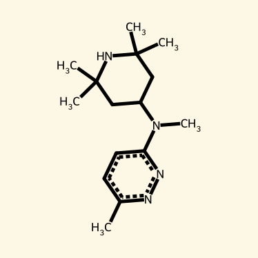 Cc1ccc(N(C)C2CC(C)(C)NC(C)(C)C2)nn1